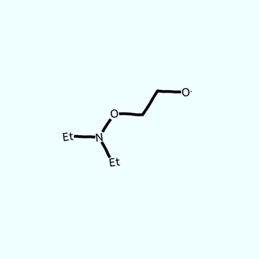 CCN(CC)OCC[O]